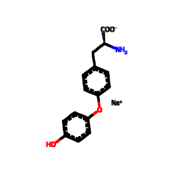 N[C@@H](Cc1ccc(Oc2ccc(O)cc2)cc1)C(=O)[O-].[Na+]